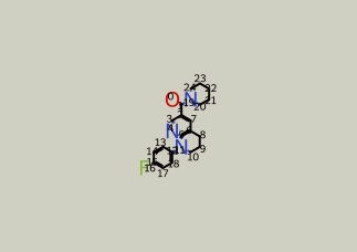 O=C(c1cnc2c(c1)CCCN2c1ccc(F)cc1)N1CCCCC1